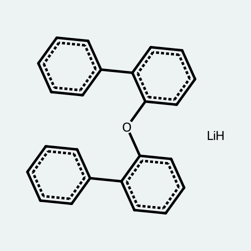 [LiH].c1ccc(-c2ccccc2Oc2ccccc2-c2ccccc2)cc1